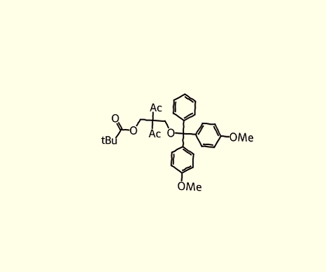 COc1ccc(C(OCC(COC(=O)C(C)(C)C)(C(C)=O)C(C)=O)(c2ccccc2)c2ccc(OC)cc2)cc1